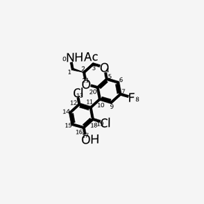 CC(=O)NC[C@H]1COc2cc(F)cc(-c3c(Cl)ccc(O)c3Cl)c2O1